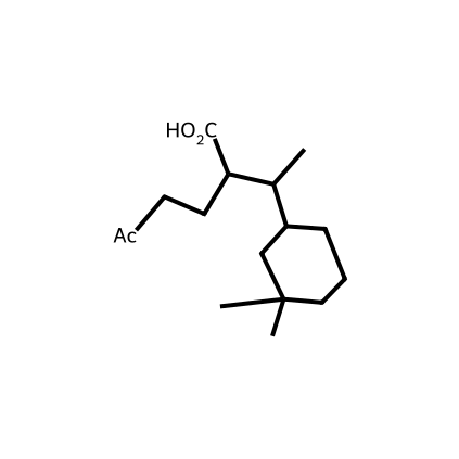 CC(=O)CCC(C(=O)O)C(C)C1CCCC(C)(C)C1